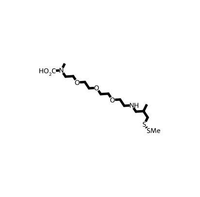 CSSCC(C)CNCCOCCOCCOCCN(C)C(=O)O